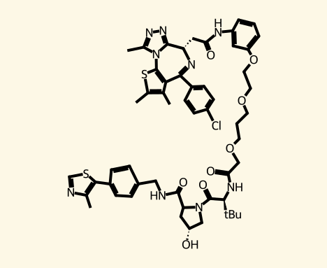 Cc1ncsc1-c1ccc(CNC(=O)C2C[C@@H](O)CN2C(=O)[C@@H](NC(=O)COCCCOCCOc2cccc(NC(=O)C[C@@H]3N=C(c4ccc(Cl)cc4)c4c(sc(C)c4C)-n4c(C)nnc43)c2)C(C)(C)C)cc1